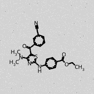 CCOC(=O)c1ccc(Nc2nc(N(C)C)c(C(=O)c3cccc(C#N)c3)s2)cc1